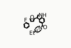 CCN1CCN(C(=O)c2ccc3[nH]cc(-c4ccco4)c3c2)CC1.Fc1ccccc1